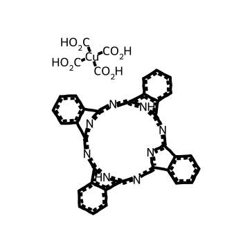 O=[C](O)[Cu]([C](=O)O)([C](=O)O)[C](=O)O.c1ccc2c(c1)-c1nc-2nc2[nH]c(nc3nc(nc4[nH]c(n1)c1ccccc41)-c1ccccc1-3)c1ccccc21